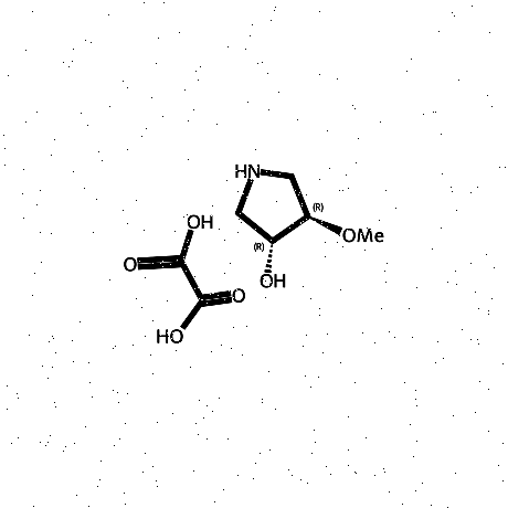 CO[C@@H]1CNC[C@H]1O.O=C(O)C(=O)O